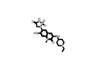 CCN1CCC(Nc2cc3cc(N4CC(=O)NS4(=O)=O)c(O)cc3n(C)c2=O)CC1